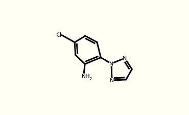 Nc1cc(Cl)ccc1-n1nccn1